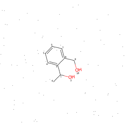 CC(O)c1ccccc1CO